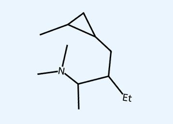 CCC(CC1CC1C)C(C)N(C)C